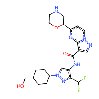 O=C(Nc1cn([C@H]2CC[C@H](CO)CC2)nc1C(F)F)c1cnn2ccc(C3CNCCO3)nc12